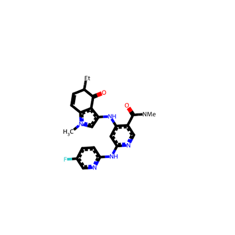 CCC1C=Cc2c(c(Nc3cc(Nc4ccc(F)cn4)ncc3C(=O)NC)cn2C)C1=O